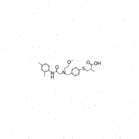 COCCN(CC(=O)Nc1ccc(C)cc1C)Cc1ccc(SCC(C)C(=O)O)cc1